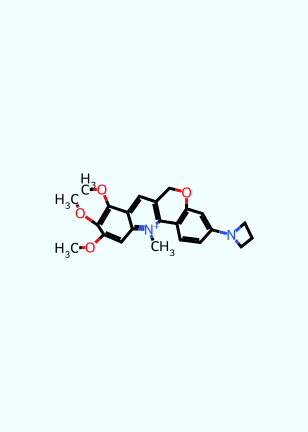 COc1cc2c(cc3c([n+]2C)-c2ccc(N4CCC4)cc2OC3)c(OC)c1OC